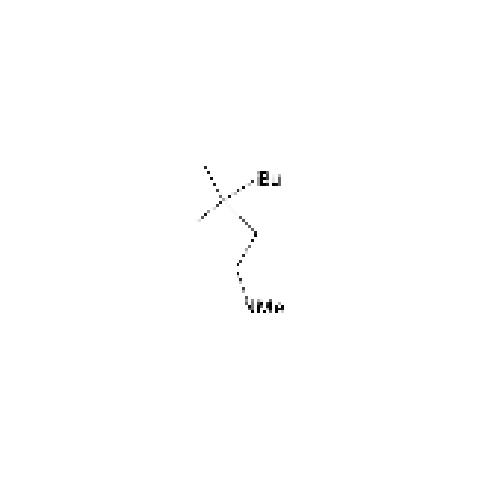 CCC(C)C(C)(C)CCNC